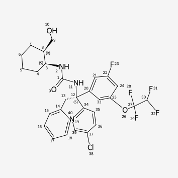 O=C(N[C@H]1CCCC[C@H]1CO)N[C@@](Cc1ccccc1)(c1cc(F)cc(OC(F)(F)C(F)F)c1)c1ccc(Cl)cn1